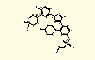 CC1CCN(c2cc(NS(=O)(=O)CCO)ccc2-c2cn(-c3ccc(F)c(N4CCC(F)(F)CC4)n3)nn2)CC1